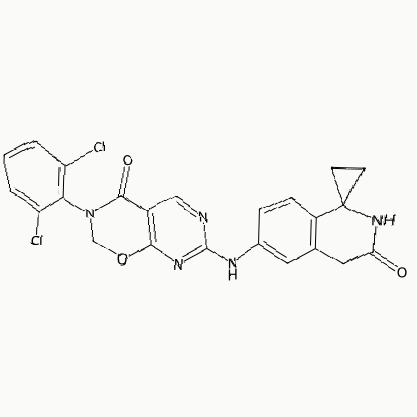 O=C1Cc2cc(Nc3ncc4c(n3)OCN(c3c(Cl)cccc3Cl)C4=O)ccc2C2(CC2)N1